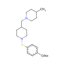 COc1ccc(SN2CCC(CN3CCC(C)CC3)CC2)cc1